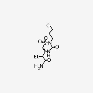 CCC(C(N)=O)C1=CS(=O)(=O)N(CCCCl)C(=O)N1